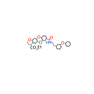 CCOC(=O)C1CCOc2cc(Oc3ccc(C(=O)NCCc4cccc(Oc5ccccc5)c4)cc3)c(Cl)cc21